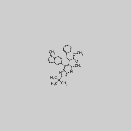 COC(=O)C(Cc1ccccc1)c1c(C)nc2cc(C(C)(C)C)nn2c1-c1ccc2c(ccn2C)c1